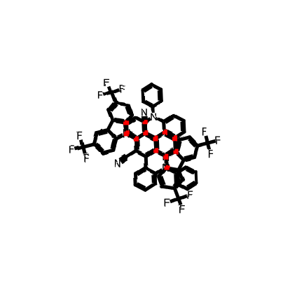 N#Cc1c(-c2ccccc2N(c2ccccc2)c2ccccc2)c(-n2c3ccc(C(F)(F)F)cc3c3cc(C(F)(F)F)ccc32)c(-c2ccccc2N(c2ccccc2)c2ccccc2)c(C#N)c1-n1c2ccc(C(F)(F)F)cc2c2cc(C(F)(F)F)ccc21